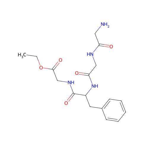 CCOC(=O)CNC(=O)C(Cc1ccccc1)NC(=O)CNC(=O)CN